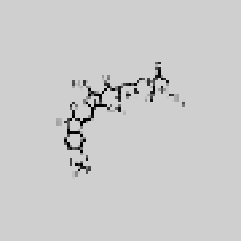 Cc1[nH]c(C=C2C(=O)Nc3ccc(OC(F)(F)F)cc32)c(C)c1C(=O)NC[C@H](O)CN1C(=O)CN(C)C1=O